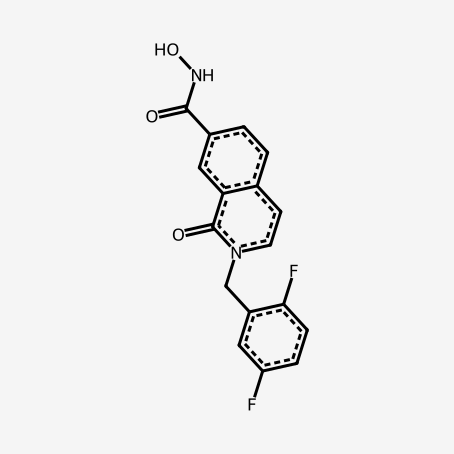 O=C(NO)c1ccc2ccn(Cc3cc(F)ccc3F)c(=O)c2c1